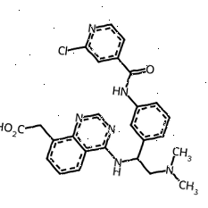 CN(C)CC(Nc1ncnc2c(CC(=O)O)cccc12)c1cccc(NC(=O)c2ccnc(Cl)c2)c1